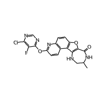 CC1CNc2c(oc3ccc4nc(Oc5ncnc(Cl)c5F)ccc4c23)C(=O)N1